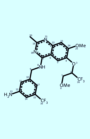 COCC(Oc1cc2c(NCc3cc(N)cc(C(F)(F)F)c3)nc(C)nc2cc1OC)C(F)(F)F